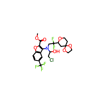 COC(=O)c1oc2ccc(C(F)(F)F)cc2c1N(CC(F)(F)C1CC2(CCO1)OCCO2)C(O)CCl